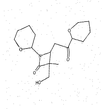 CC1(CO)C(=O)N(C2CCCCO2)C1CC(=O)C1CCCCO1